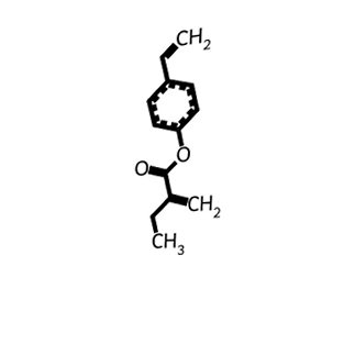 C=Cc1ccc(OC(=O)C(=C)CC)cc1